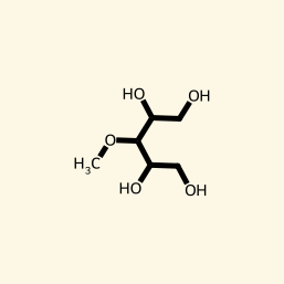 COC(C(O)CO)C(O)CO